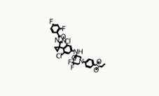 CCS(=O)(=O)c1ccc(N(CC(=O)Nc2cc(Cl)c(C3(c4noc(-c5ccc(F)cc5F)n4)CC3)c(Cl)c2)CC(F)(F)F)cc1